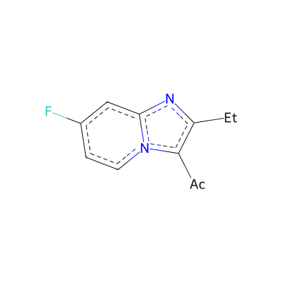 CCc1nc2cc(F)ccn2c1C(C)=O